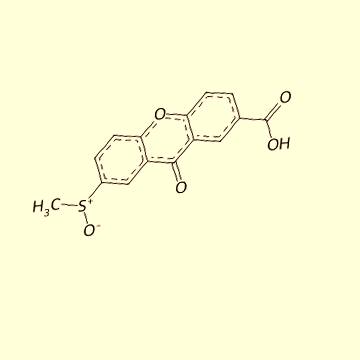 C[S+]([O-])c1ccc2oc3ccc(C(=O)O)cc3c(=O)c2c1